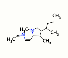 C/C=N\C=C/C1=C(C)C(C(C)CCC)CN1C